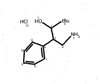 CC(C)(C)C(O)C(CN)c1ccccc1.Cl